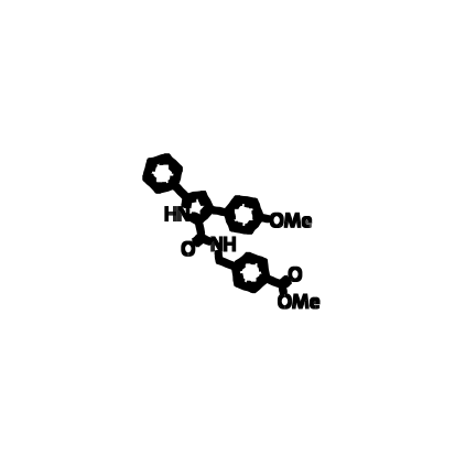 COC(=O)c1ccc(CNC(=O)c2[nH]c(-c3ccccc3)cc2-c2ccc(OC)cc2)cc1